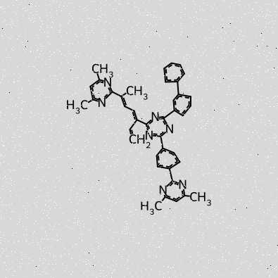 C=C/C(=C\C=C(/C)c1nc(C)cc(C)n1)c1nc(-c2ccc(-c3nc(C)cc(C)n3)cc2)nc(-c2cccc(-c3ccccc3)c2)n1